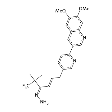 COc1cc2cc(-c3ccc(C/C=C/C(=N\N)C(C)(C)C(F)(F)F)cn3)cnc2cc1OC